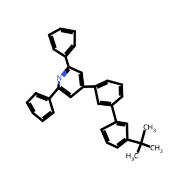 CC(C)(C)c1cccc(-c2cccc(-c3cc(-c4ccccc4)nc(-c4ccccc4)c3)c2)c1